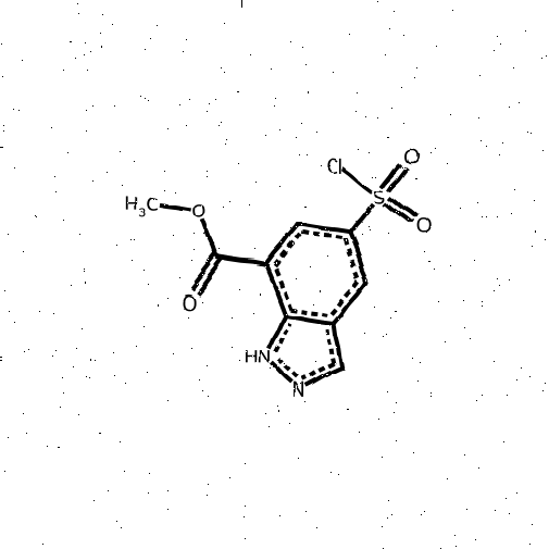 COC(=O)c1cc(S(=O)(=O)Cl)cc2cn[nH]c12